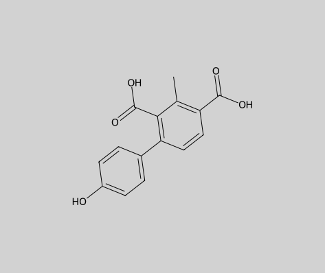 Cc1c(C(=O)O)ccc(-c2ccc(O)cc2)c1C(=O)O